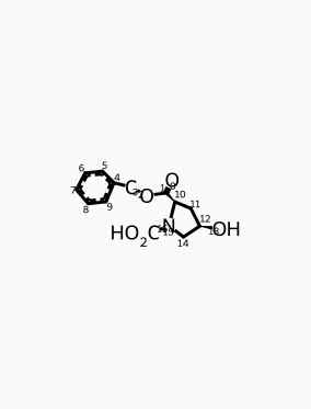 O=C(OCc1ccccc1)[C@H]1C[C@@H](O)CN1C(=O)O